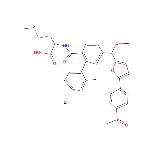 COC(c1ccc(C(=O)NC(CCSC)C(=O)O)c(-c2ccccc2C)c1)c1ccc(-c2ccc(C(C)=O)cc2)o1.[LiH]